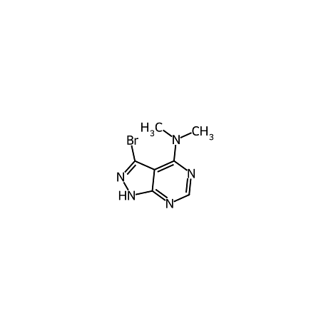 CN(C)c1ncnc2[nH]nc(Br)c12